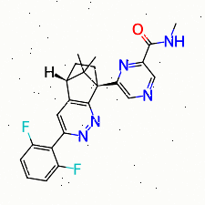 CNC(=O)c1cncc([C@@]23CC[C@@H](c4cc(-c5c(F)cccc5F)nnc42)C3(C)C)n1